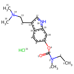 CCN(C)C(=O)Oc1ccc2c(CCN(C)C)c[nH]c2c1.Cl